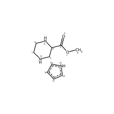 COC(=O)C1CNCCN1.c1cc[nH]c1